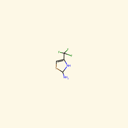 NC1NC(C(F)(F)F)=CS1